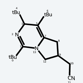 CC(C)(C)C1=NC(C(C)(C)C)C(C(C)(C)C)=C2CC(CC#N)CN12